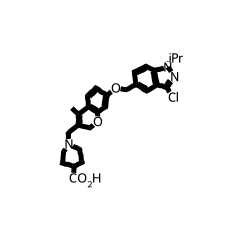 CC1=C(CN2CCC(C(=O)O)CC2)COc2cc(OCc3ccc4c(c3)c(Cl)nn4C(C)C)ccc21